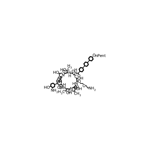 CCCCCOc1ccc(-c2ccc(-c3ccc(C(=O)N[C@H]4C[C@@H](O)[C@@H](OCCOCCN)NC(=O)[C@@H]5[C@@H](O)[C@@H](C)CN5C(=O)[C@H]([C@@H](C)O)NC(=O)[C@H]([C@H](O)[C@@H](O)c5ccc(O)c(N)c5)NC(=O)[C@@H]5C[C@@H](O)CN5C(=O)[C@H]([C@@H](C)O)NC4=O)cc3)cc2)cc1